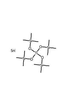 C[Si](C)(C)[O][Ti]([O][Si](C)(C)C)([O][Si](C)(C)C)[O][Si](C)(C)C.[Sn]